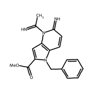 COC(=O)c1cc2c(ccc(=N)n2C(C)=N)n1Cc1ccccc1